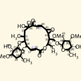 CO[C@@H]1[C@H](O)[C@@H](C)O[C@@H](OCC2C(C)OC(=O)/C=C/C(C)C(O[C@H]3O[C@@H](C)C[C@@H](OC)[C@@H]3O)C(C)CC(C)(O)C(=O)/C=C/C3OC32)[C@@H]1OC